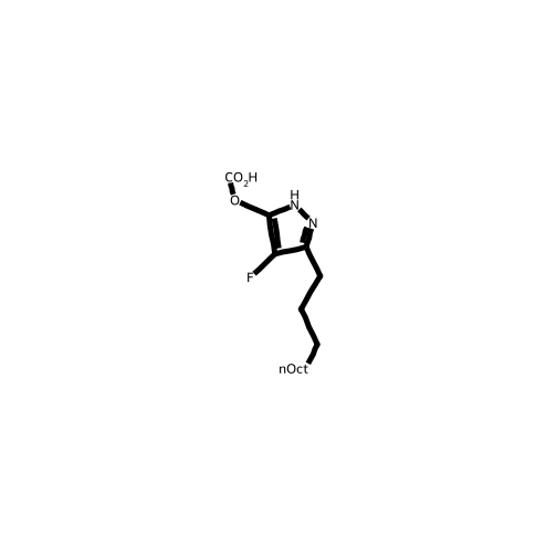 CCCCCCCCCCCc1n[nH]c(OC(=O)O)c1F